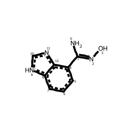 N/C(=N\O)c1cccc2[nH]cnc12